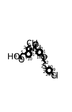 Cc1cc2c(CC(=O)O)cccc2n1C(=O)c1ccc(OCCSc2ccc(Cl)cc2)cc1